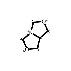 [CH]1OCN2COCC12